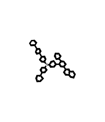 C1=CC(c2ccc(-c3ccc(N(c4ccc(-c5ccccc5)cc4)c4ccc(-c5cc(-c6ccc7ccccc7c6)ccc5-c5ccccc5)cc4)cc3)cc2)=CCC1